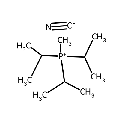 CC(C)[P+](C)(C(C)C)C(C)C.[C-]#N